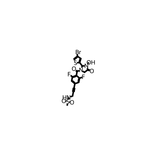 CS(=O)(=O)NCC#Cc1cc(F)c(C(=O)N2CC(=O)N(O)C2c2cc(Br)cs2)c(F)c1